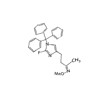 CO/N=C(/C)CCc1cn(C(c2ccccc2)(c2ccccc2)c2ccccc2)c(F)n1